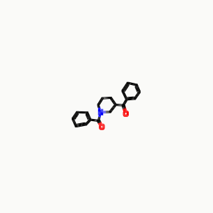 O=C(c1ccccc1)C1CCCN(C(=O)c2ccccc2)C1